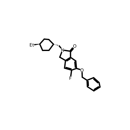 CC[C@H]1CC[C@H](CN2Cc3cc(F)c(OCc4ccccc4)cc3C2=O)CC1